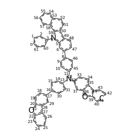 c1ccc(-n2c3cc(-c4ccc(N(c5ccc(-c6ccc7oc8ccccc8c7c6)cc5)c5ccc6c(c5)oc5ccccc56)cc4)ccc3c3ccc4ccccc4c32)cc1